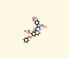 COc1ccc2c(c1)c1c(n2CO)CN2CCc3cc(OCc4ccccc4)c(OC)cc3[C@H]2C1